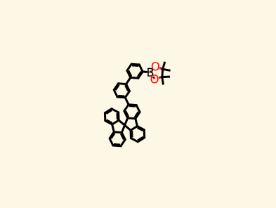 CC1(C)OB(c2cccc(-c3cccc(-c4ccc5c(c4)C4(c6ccccc6-c6ccccc64)c4ccccc4-5)c3)c2)OC1(C)C